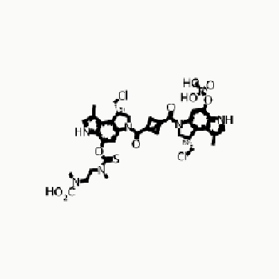 Cc1c[nH]c2c(OC(=S)N(C)CCN(C)C(=O)O)cc3c(c12)[C@H](CCl)CN3C(=O)C12CC(C(=O)N3C[C@@H](CCl)c4c3cc(OP(=O)(O)O)c3[nH]cc(C)c43)(C1)C2